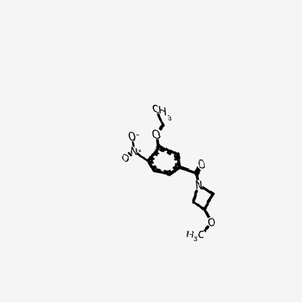 CCOc1cc(C(=O)N2CC(OC)C2)ccc1[N+](=O)[O-]